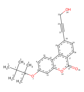 CC(C)(C)[Si](C)(C)Oc1ccc2c(c1)oc(=O)c1ccc(C#CCO)cc12